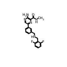 CNC(=O)c1nc(-c2cccc(CNCc3c(F)cccc3F)c2)cnc1N